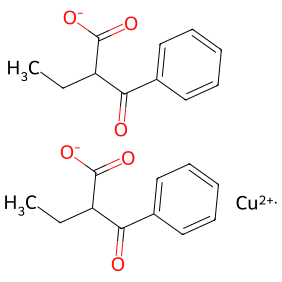 CCC(C(=O)[O-])C(=O)c1ccccc1.CCC(C(=O)[O-])C(=O)c1ccccc1.[Cu+2]